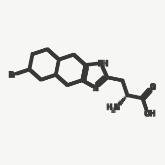 N[C@H](Cc1nc2c([nH]1)CC1CCC(Br)CC1C2)C(=O)O